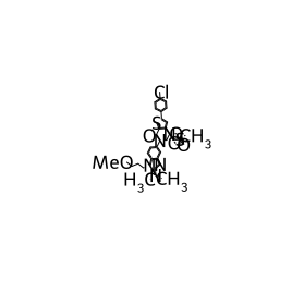 COCCCn1c(N(C)C)nc2cc(N3CN(OS(C)(=O)=O)c4cc(-c5ccc(Cl)cc5)sc4C3=O)ccc21